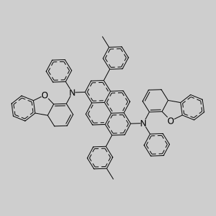 Cc1cccc(-c2cc(N(C3=C4Oc5ccccc5C4CC=C3)c3ccccc3)c3ccc4c(-c5cccc(C)c5)cc(N(C5=C6Oc7ccccc7C6CC=C5)c5ccccc5)c5ccc2c3c45)c1